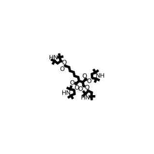 CC1(C)CC(OC(=O)CCCCCC(C(=O)OC2CC(C)(C)NC2(C)C)C(C(=O)OC2CC(C)(C)NC2(C)C)C(=O)OC2CC(C)(C)NC2(C)C)C(C)(C)N1